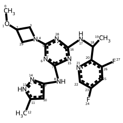 COC1CN(c2nc(Nc3cc(C)[nH]n3)nc(NC(C)c3ncc(F)cc3F)n2)C1